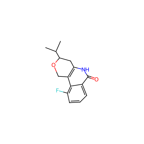 CC(C)C1Cc2[nH]c(=O)c3cccc(F)c3c2CO1